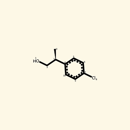 C[C@H](CO)c1ccc(Cl)cc1